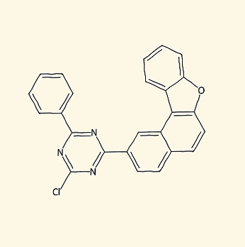 Clc1nc(-c2ccccc2)nc(-c2ccc3ccc4oc5ccccc5c4c3c2)n1